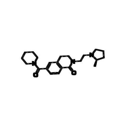 C[C@@H]1CCCN1CCN1CCc2cc(C(=O)N3CCCCC3)ccc2C1=O